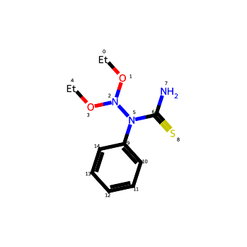 CCON(OCC)N(C(N)=S)c1ccccc1